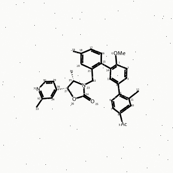 COc1ccc(-c2ccc(C(C)=O)cc2C)cc1-c1ccc(C)cc1CN1C(=O)O[C@H](c2ccnc(C)c2)[C@@H]1C